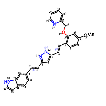 COc1ccc(/C=C/c2cc(/C=C/c3ccc4cc[nH]c4c3)n[nH]2)c(OCc2ccccn2)c1